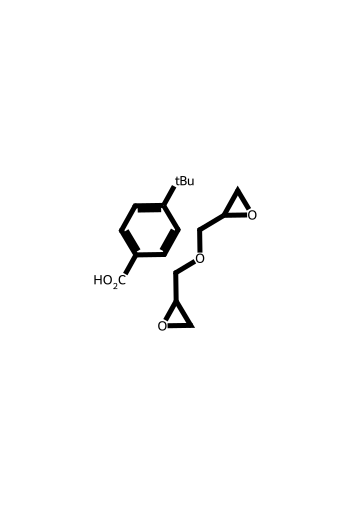 C(OCC1CO1)C1CO1.CC(C)(C)c1ccc(C(=O)O)cc1